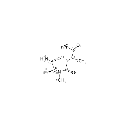 CCCC(=O)N(C)CC(=O)N(C)[C@H](C(N)=O)C(C)C